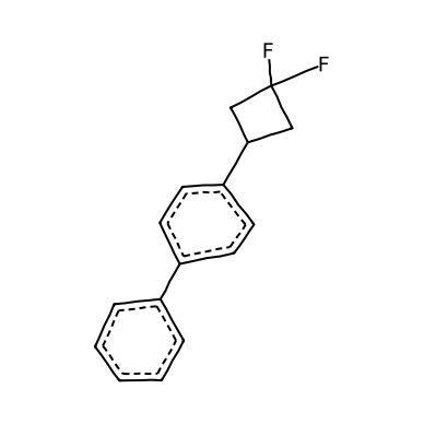 FC1(F)CC(c2ccc(-c3ccccc3)cc2)C1